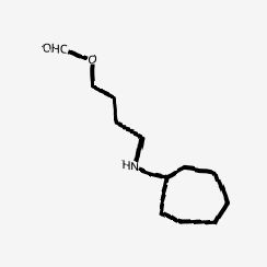 O=[C]OCCCCNC1CCCCCC1